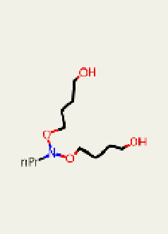 CCCN(OCCCCO)OCCCCO